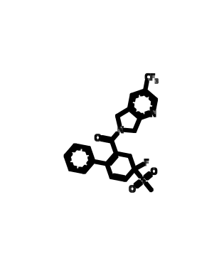 CS(=O)(=O)C1(F)C=CC(c2ccccc2)=C(C(=O)N2Cc3cc(C(F)(F)F)cnc3C2)C1